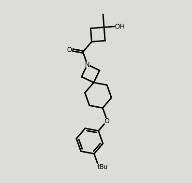 CC1(O)CC(C(=O)N2CC3(CCC(Oc4cccc(C(C)(C)C)c4)CC3)C2)C1